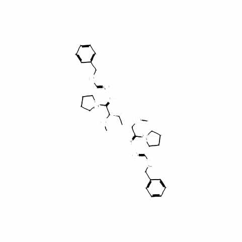 CO[C@@H](CC[C@@H](OC)C(=O)N1CCC[C@@H]1C(=O)OCc1ccccc1)C(=O)N1CCC[C@@H]1C(=O)OCc1ccccc1